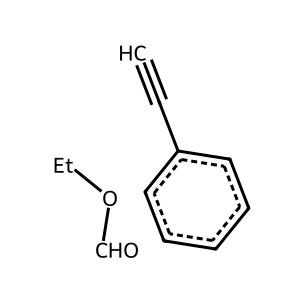 C#Cc1ccccc1.CCOC=O